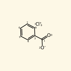 O=C([O-])c1ccccc1.[Cl+]